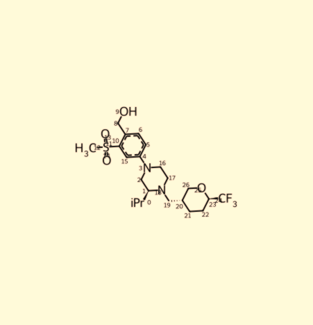 CC(C)[C@H]1CN(c2ccc(CO)c(S(C)(=O)=O)c2)CCN1C[C@H]1CC[C@H](C(F)(F)F)OC1